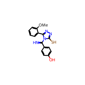 COc1ccccc1-c1nnc(S)n1C(=N)c1ccc(O)cc1